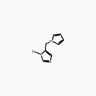 CCn1cncc1C[SH]1C=CC=C1